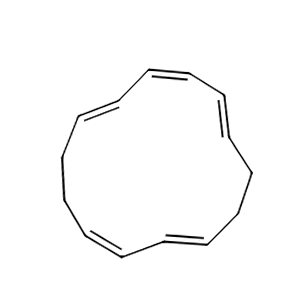 [CH]1/C=C/C=C\CC/C=C/C=C\C=C\C1